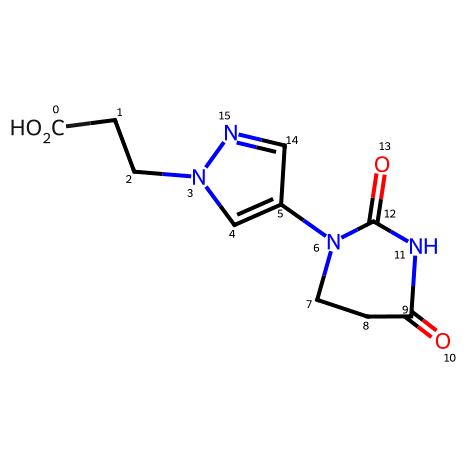 O=C(O)CCn1cc(N2CCC(=O)NC2=O)cn1